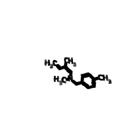 C=C/C(C)=C\N(C)Cc1ccc(C)cc1